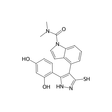 CN(C)C(=O)n1ccc2c(-c3c(S)n[nH]c3-c3ccc(O)cc3O)cccc21